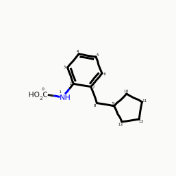 O=C(O)Nc1ccccc1CC1CCCC1